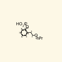 CCCOCCc1ccccc1OC(=O)O